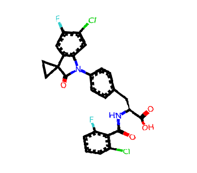 O=C(N[C@@H](Cc1ccc(N2C(=O)C3(CC3)c3cc(F)c(Cl)cc32)cc1)C(=O)O)c1c(F)cccc1Cl